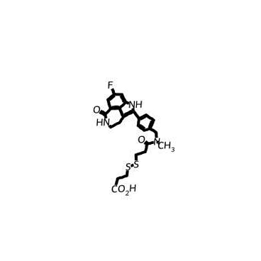 CN(Cc1ccc(-c2[nH]c3cc(F)cc4c3c2CCNC4=O)cc1)C(=O)CCSSCCC(=O)O